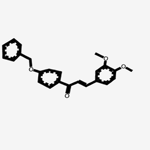 COc1ccc(/C=C/C(=O)c2ccc(OCc3ccccc3)cc2)cc1OC